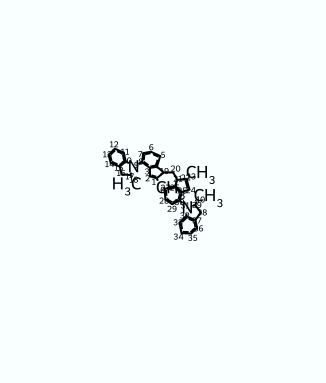 CC1=Cc2c(cccc2N2c3ccccc3CC2C)C1CC1C(C)=Cc2c1cccc2N1c2ccccc2CC1C